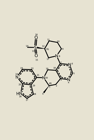 C[C@@H]1Cc2ncnc(N3CCC[C@H](S(C)(=O)=O)C3)c2CN1c1ccnc2[nH]ccc12